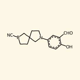 N#CB1CCC2(CCN(c3ccc(O)c(C=O)c3)C2)C1